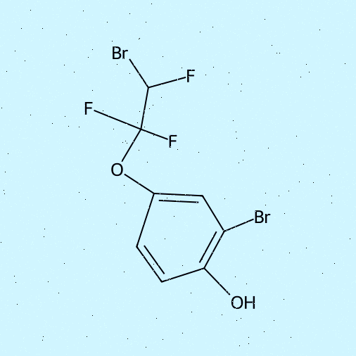 Oc1ccc(OC(F)(F)C(F)Br)cc1Br